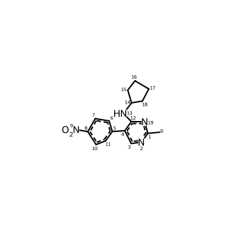 Cc1ncc(-c2ccc([N+](=O)[O-])cc2)c(NC2CCCC2)n1